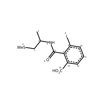 CSCC(C)NC(=O)c1c(I)cccc1C(=O)O